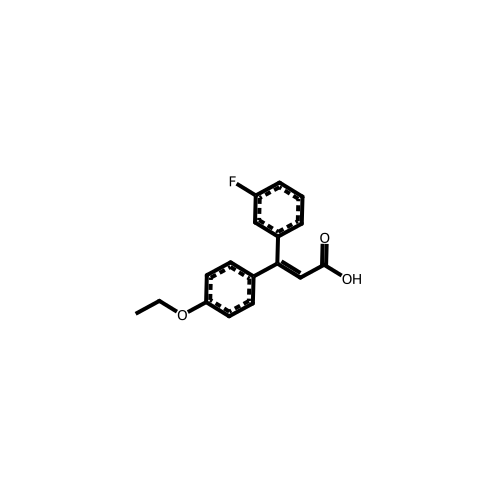 CCOc1ccc(C(=CC(=O)O)c2cccc(F)c2)cc1